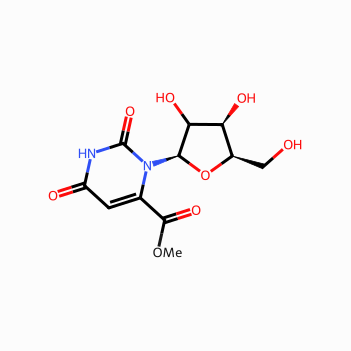 COC(=O)c1cc(=O)[nH]c(=O)n1[C@@H]1O[C@H](CO)[C@H](O)C1O